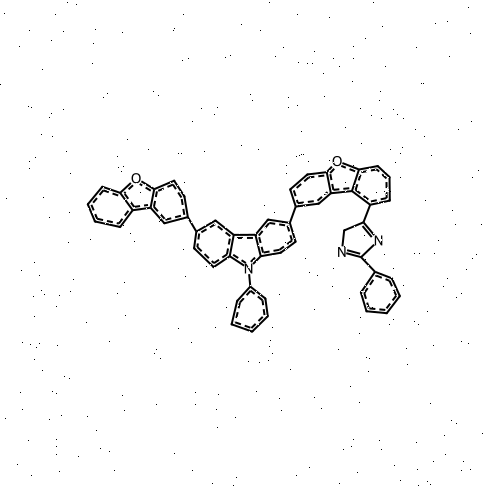 c1ccc(C2=NCC(c3cccc4oc5ccc(-c6ccc7c(c6)c6cc(-c8ccc9oc%10ccccc%10c9c8)ccc6n7-c6ccccc6)cc5c34)=N2)cc1